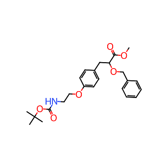 COC(=O)C(Cc1ccc(OCCNC(=O)OC(C)(C)C)cc1)OCc1ccccc1